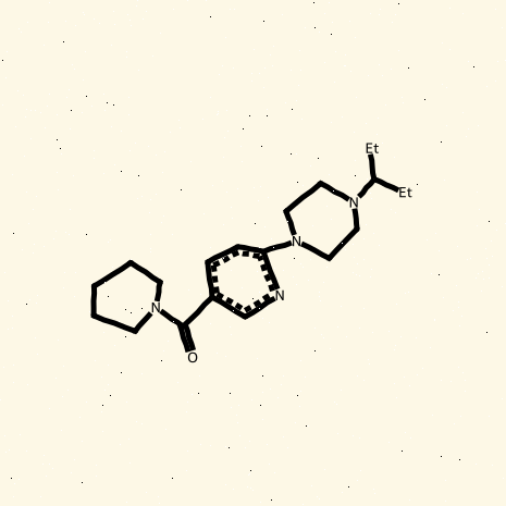 CCC(CC)N1CCN(c2ccc(C(=O)N3CCCCC3)cn2)CC1